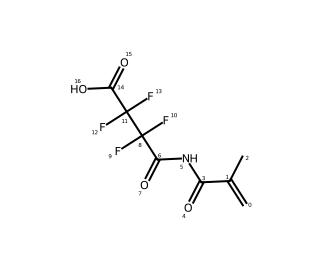 C=C(C)C(=O)NC(=O)C(F)(F)C(F)(F)C(=O)O